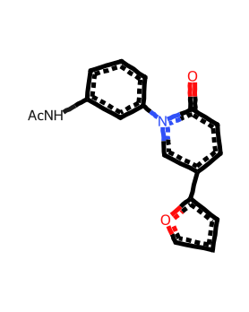 CC(=O)Nc1cccc(-n2cc(-c3ccco3)ccc2=O)c1